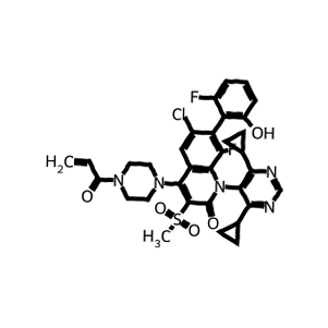 C=CC(=O)N1CCN(c2c(S(C)(=O)=O)c(=O)n(-c3c(C4CC4)ncnc3C3CC3)c3c(F)c(-c4c(O)cccc4F)c(Cl)cc23)CC1